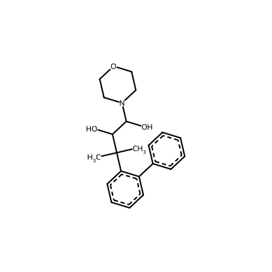 CC(C)(c1ccccc1-c1ccccc1)C(O)C(O)N1CCOCC1